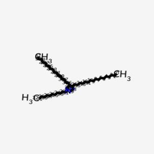 CCCCCCCCCCCCCCCCCc1cc[n+](CCCCCCCCCCCC)cc1CCCCCCCCCCCCCCCCC